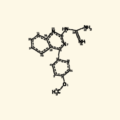 COc1ccc(-c2nc(NC(=N)N)nc3ccccc23)cc1